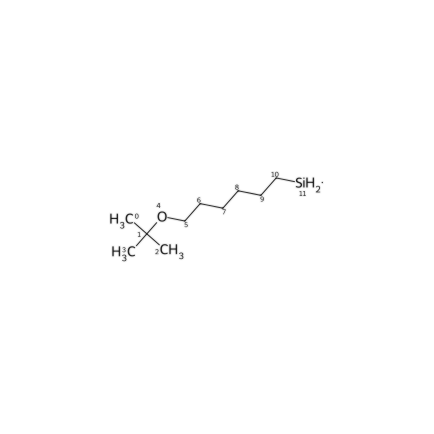 CC(C)(C)OCCCCCC[SiH2]